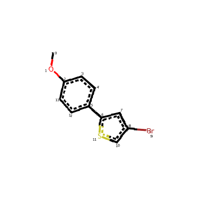 COc1ccc(-c2cc(Br)cs2)cc1